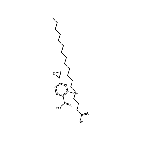 C1CO1.CCCCCCCCCCCCCCCCCC(N)=O.O=C(O)c1ccccc1O